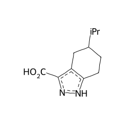 CC(C)C1CCc2[nH]nc(C(=O)O)c2C1